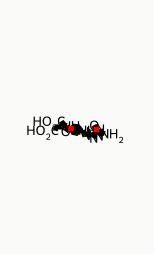 NC1=NC(=O)C2N=C(CNc3ccc(C(=O)NC(CCC(=O)O)C(=O)O)cc3)C=NC2=N1